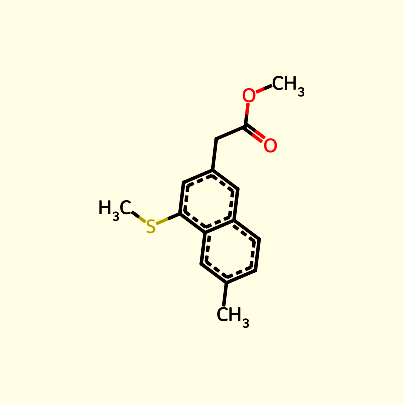 COC(=O)Cc1cc(SC)c2cc(C)ccc2c1